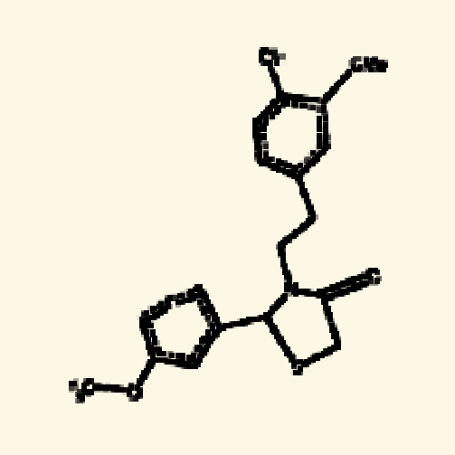 COc1cc(CCN2C(=O)CSC2c2cccc(OC(F)(F)F)c2)ccc1O